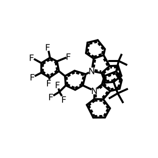 CC(C)(C)c1ccc2c3ccccc3n(-c3cc(-c4c(F)c(F)c(F)c(F)c4F)c(C(F)(F)F)cc3-n3c4ccccc4c4ccc(C(C)(C)C)cc43)c2c1